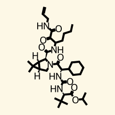 C=CCNC(=O)C(=O)C(CCCC)NC(=O)[C@@H]1[C@@H]2[C@H](CN1C(=O)[C@@H](NC(=O)N[C@H](C(=O)OC(C)C)C(C)(C)C)C1CCCCC1)C2(C)C